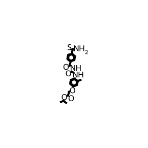 Cc1cc(OCC(=O)OC(C)C)ccc1NC(=O)NC(=O)c1ccc(C(N)=S)cc1